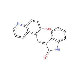 O=C1Nc2ccccc2/C1=C\c1c(O)ccc2ncccc12